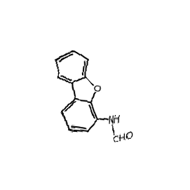 O=CNc1cccc2c1oc1ccccc12